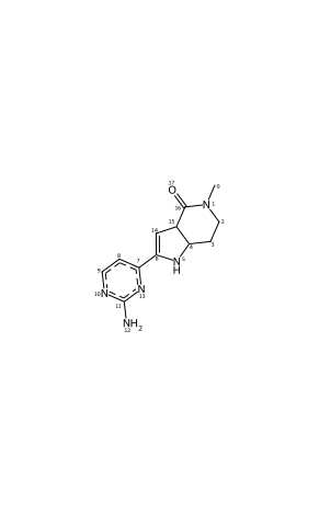 CN1CCC2NC(c3ccnc(N)n3)=CC2C1=O